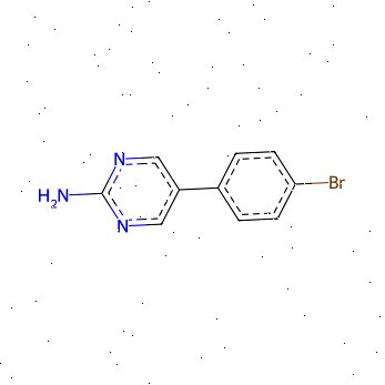 Nc1ncc(-c2ccc(Br)cc2)cn1